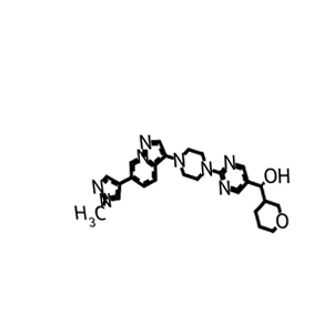 Cn1cc(-c2ccc3c(N4CCN(c5ncc([C@@H](O)C6CCCOC6)cn5)CC4)cnn3c2)cn1